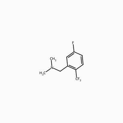 CN(C)Cc1cc(F)ccc1C(F)(F)F